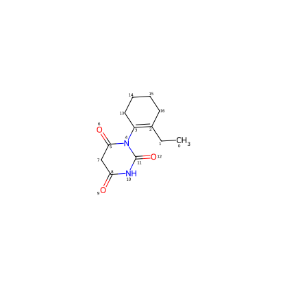 CCC1=C(N2C(=O)CC(=O)NC2=O)CCCC1